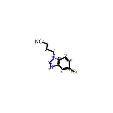 N#CCCCn1cnc2cc(Br)ccc21